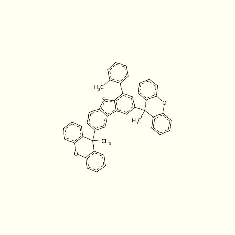 Cc1ccccc1-c1cc(C2(C)c3ccccc3Oc3ccccc32)cc2c1sc1ccc(C3(C)c4ccccc4Oc4ccccc43)cc12